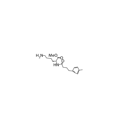 COC(=O)[C@H](CCCCN)NC(=O)CCCc1ccc(C)cc1